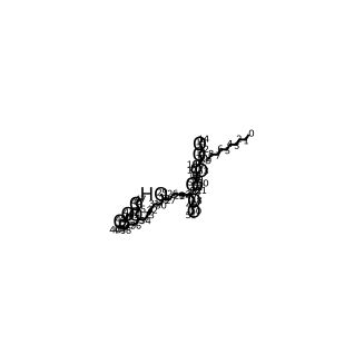 CCCCCCCCCC[C@@H](OCOC)[C@H]1CC[C@H]([C@H]2CC[C@H](C(C#CCCC(O)CCC#CCC(CC3=C[C@H](C)OC3=O)OCOC)OCOC)O2)O1